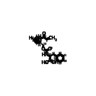 C=CC(=O)N1C[C@@H]2C3[C@@H]2[C@]31COC(=O)N[C@@H](Cc1ccccc1)B(O)O